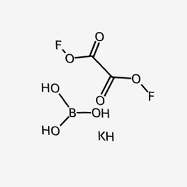 O=C(OF)C(=O)OF.OB(O)O.[KH]